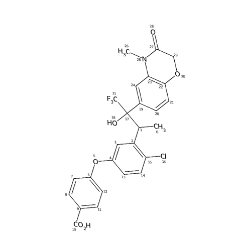 CC(c1cc(Oc2ccc(C(=O)O)cc2)ccc1Cl)C(O)(c1ccc2c(c1)N(C)C(=O)CO2)C(F)(F)F